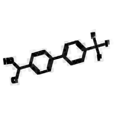 OC(Cl)c1ccc(-c2ccc(C(F)(F)F)cc2)cc1